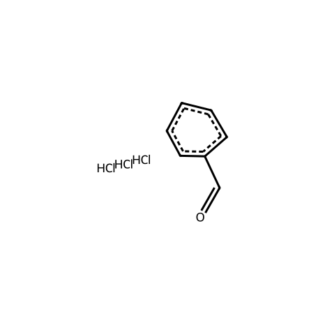 Cl.Cl.Cl.O=Cc1ccccc1